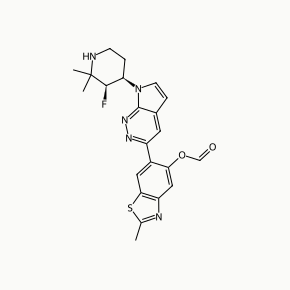 Cc1nc2cc(OC=O)c(-c3cc4ccn([C@@H]5CCNC(C)(C)[C@@H]5F)c4nn3)cc2s1